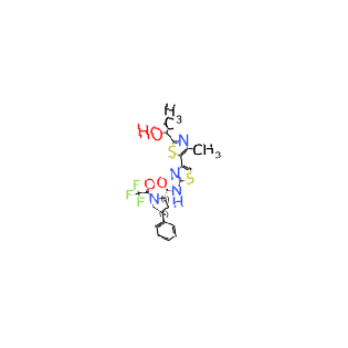 Cc1nc(C(C)O)sc1-c1csc(NC(=O)[C@@H]2C[C@@H](c3ccccc3)CN2C(=O)C(F)(F)F)n1